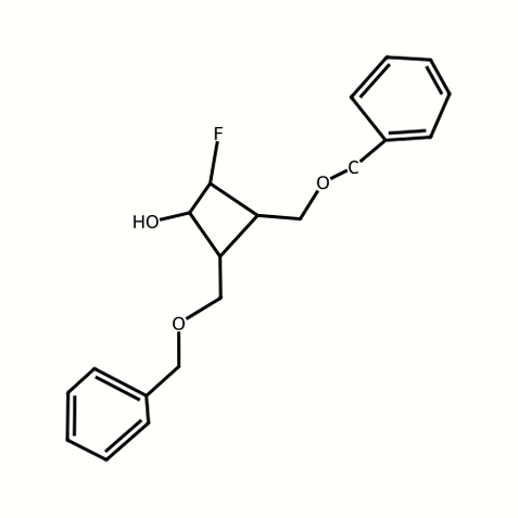 OC1C(F)C(COCc2ccccc2)C1COCc1ccccc1